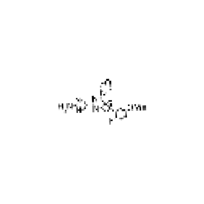 COc1ccc(F)c(-c2cc3nc(-c4cnc(N)nc4)nc(N4CCOCC4)c3s2)c1